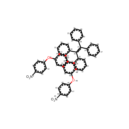 O=[N+]([O-])c1ccc(Oc2ccc(-c3ccccc3C(=C(c3ccccc3)c3ccccc3)c3ccccc3-c3ccc(Oc4ccc([N+](=O)[O-])cc4)cc3)cc2)cc1